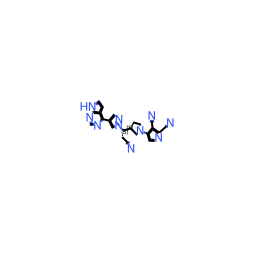 N#CC[C@@H]([C@H]1CCN(c2ccnc(C#N)c2C#N)C1)n1cc(-c2ncnc3[nH]ccc23)cn1